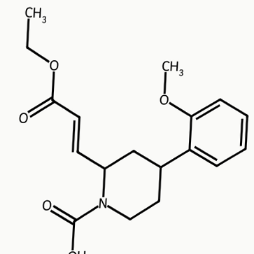 CCOC(=O)C=CC1CC(c2ccccc2OC)CCN1C(=O)O